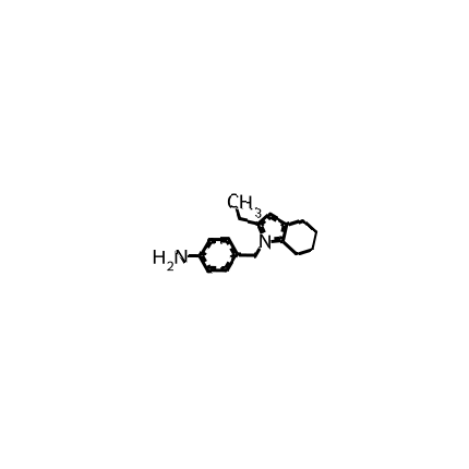 CCc1cc2c(n1Cc1ccc(N)cc1)CCCC2